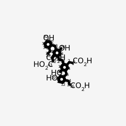 O=C(O)CCc1cc(Cc2cc(O)ccc2CCC(=O)O)c(O)cc1CCc1cc(O)c(Cc2cc(O)ccc2CCC(=O)O)cc1CCC(=O)O